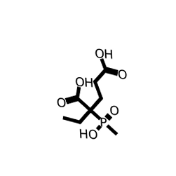 CCC(CCC(=O)O)(C(=O)O)P(C)(=O)O